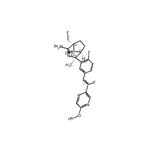 CCCOc1cnc(/C(F)=C/c2ccc(F)c([C@@]3(C)N=C(N)[C@@]4(CF)CC[C@@H]3S4(=O)=O)c2)cn1